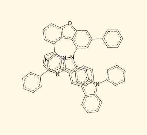 c1ccc(-c2cc(-n3c4ccccc4c4cc5c6ccccc6n(-c6ccccc6)c5cc43)c3c(c2)oc2cccc(-c4nc(-c5ccccc5)nc(-c5ccccc5)n4)c23)cc1